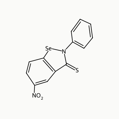 O=[N+]([O-])c1ccc2[se]n(-c3ccccc3)c(=S)c2c1